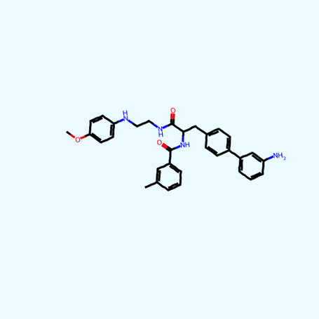 COc1ccc(NCCNC(=O)C(Cc2ccc(-c3cccc(N)c3)cc2)NC(=O)c2cccc(C)c2)cc1